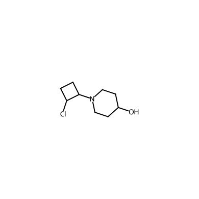 OC1CCN(C2CCC2Cl)CC1